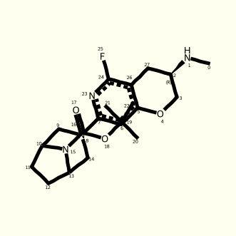 CN[C@H]1COc2cc(N3CC4CCC(C3)N4C(=O)OC(C)(C)C)nc(F)c2C1